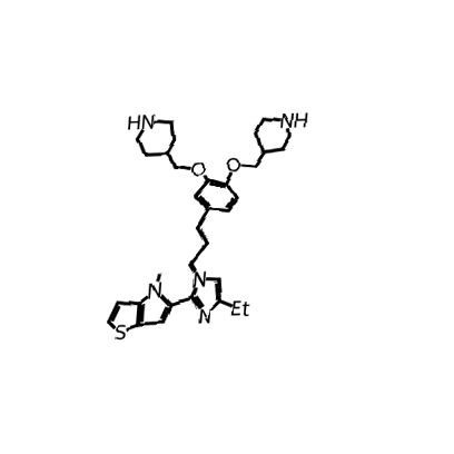 CCc1cn(CCCc2ccc(OCC3CCNCC3)c(OCC3CCNCC3)c2)c(-c2cc3sccc3n2C)n1